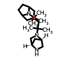 CC(C)(C)N1C2CCC1CN(CC(C)(C)N1C[C@H]3C[C@@H]1CN3)C2